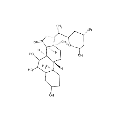 CC(C)[C@@H]1CC(O)OC([C@@H](C)[C@H]2CC(=O)[C@@H]3[C@@H]4C(O)C(O)C5CC(O)CC[C@]5(C)[C@H]4CC[C@]23C)C1